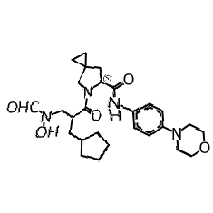 O=CN(O)CC(CC1CCCC1)C(=O)N1CC2(CC2)C[C@H]1C(=O)Nc1ccc(N2CCOCC2)cc1